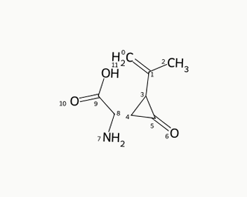 C=C(C)C1CC1=O.NCC(=O)O